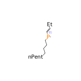 CC/C=C/[P]CCCCCCCCC